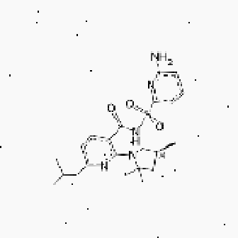 CC(C)Cc1ccc(C(=O)NS(=O)(=O)c2cccc(N)n2)c(N2C[C@@H](C)CC2(C)C)n1